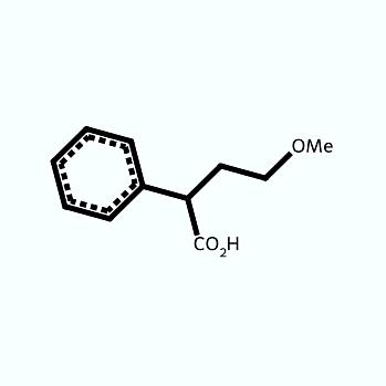 COCCC(C(=O)O)c1ccccc1